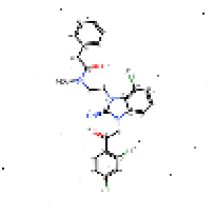 CN(CCn1c(=N)n(CC(=O)c2ccc(Cl)cc2Cl)c2cccc(Cl)c21)C(=O)Cc1ccccc1